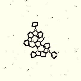 CCc1c(C#N)c(-n2c3ccccc3c3ccc4c(c5ccccc5n4-c4ccccc4)c32)c(CC)c(-n2c3ccccc3c3ccc4c(c5ccccc5n4-c4ccccc4)c32)c1C#N